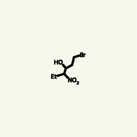 CCC(C(O)CCBr)[N+](=O)[O-]